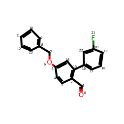 O=Cc1ccc(OCc2ccccc2)cc1-c1cccc(F)c1